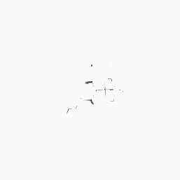 C=CCOC(=O)C(C(=O)OC(C)(C)C)C(C)(C)C